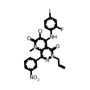 C=CCn1nc(-c2cccc([N+](=O)[O-])c2)c2c(c(Nc3ccc(I)cc3F)c(Cl)c(=O)n2C)c1=O